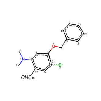 CN(C)c1cc(OCc2ccccc2)c(Br)cc1C=O